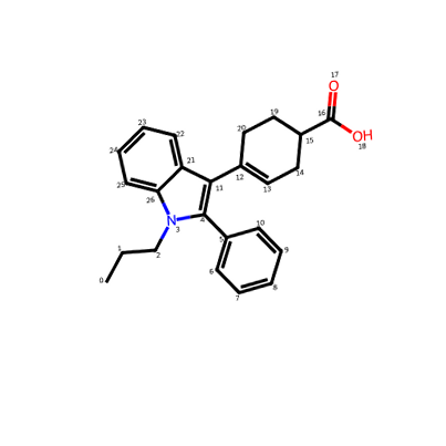 CCCn1c(-c2ccccc2)c(C2=CCC(C(=O)O)CC2)c2ccccc21